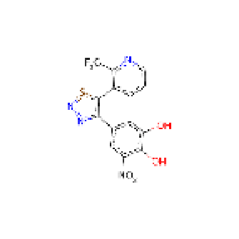 O=[N+]([O-])c1cc(-c2nnsc2-c2cccnc2C(F)(F)F)cc(O)c1O